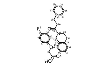 O=C(O)COc1ccc(F)cc1C1c2ccccc2CCN1C(=O)CCc1ccccc1